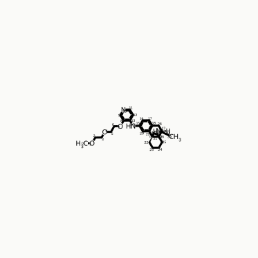 COCCOCCOc1cnccc1Nc1ccc2c(c1)[C@@]13CCCC[C@H]1[C@@H](C2)N(C)CC3